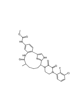 COC(=O)Nc1ccc2c(c1)NC(=O)C(C)CCCC(N1CCN(c3cccc(Cl)c3F)C(=O)C1=O)c1nc-2c[nH]1